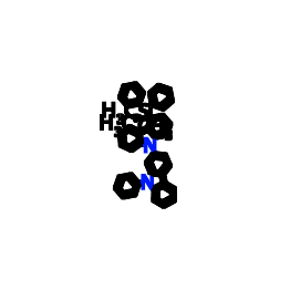 CC(C)(C)[Si](c1ccccc1)(c1ccccc1)c1cccc2c1c1ccccc1n2-c1ccc2c3ccccc3n(-c3ccccc3)c2c1